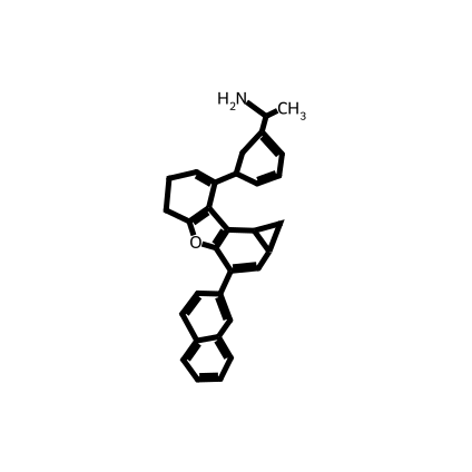 CC(N)C1=CC=CC(C2=CCCc3oc4c(c32)C2CC2C=C4c2ccc3ccccc3c2)C1